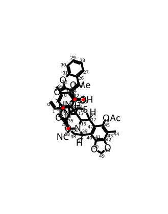 C=CCN1C2Cc3cc(C)c(OC)c(O)c3[C@@H]1C1[C@@H]3SC[C@H](NC(=O)c4cc5ccccc5oc4=O)C(=O)OC[C@@H](c4c5c(c(C)c(OC(C)=O)c43)OCO5)N1[C@H]2C#N